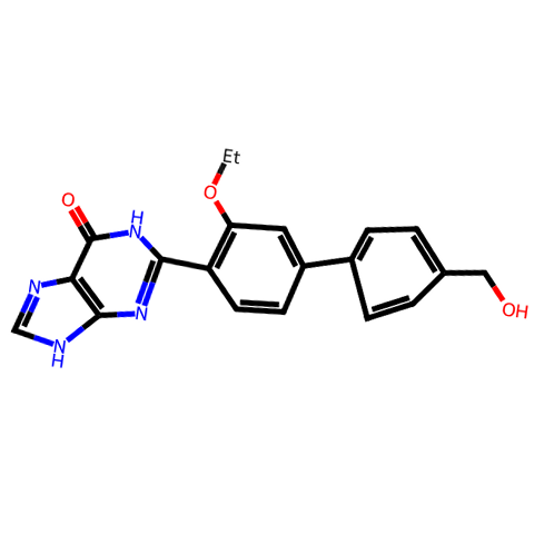 CCOc1cc(-c2ccc(CO)cc2)ccc1-c1nc2[nH]cnc2c(=O)[nH]1